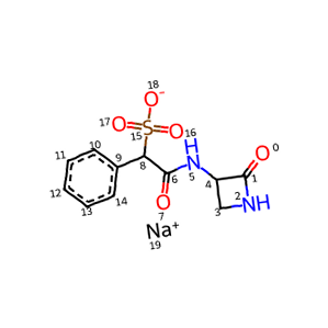 O=C1NCC1NC(=O)C(c1ccccc1)S(=O)(=O)[O-].[Na+]